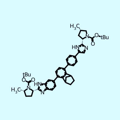 C[C@H]1C[C@@H](c2ncc(-c3ccc(-c4ccc(-c5ccc6nc([C@@H]7CC[C@H](C)N7C(=O)OC(C)(C)C)[nH]c6c5)c5c4C4CCC5C4)cc3)[nH]2)N(C(=O)OC(C)(C)C)C1